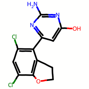 Nc1nc(O)cc(-c2c(Cl)cc(Cl)c3c2CCO3)n1